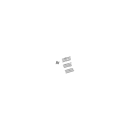 C#C.C#C.C#C.[Ar]